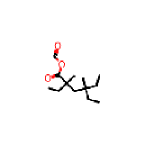 CCC(C)(CC)CC(C)(CC)C(=O)OC=O